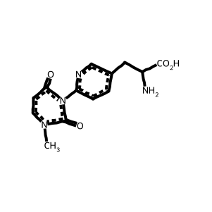 Cn1ccc(=O)n(-c2ccc(CC(N)C(=O)O)cn2)c1=O